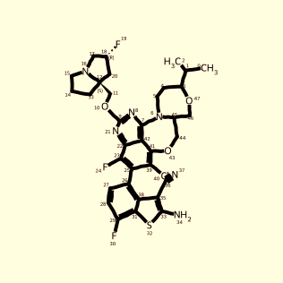 CC(C)C1CCN2c3nc(OC[C@@]45CCCN4C[C@H](F)C5)nc4c(F)c(-c5ccc(F)c6sc(N)c(C#N)c56)c(Cl)c(c34)OCC2CO1